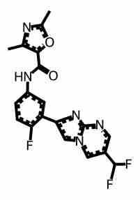 Cc1nc(C)c(C(=O)Nc2ccc(F)c(-c3cn4cc(C(F)F)cnc4n3)c2)o1